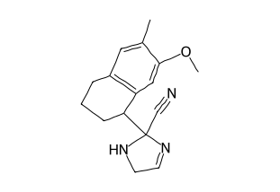 COc1cc2c(cc1C)CCCC2C1(C#N)N=CCN1